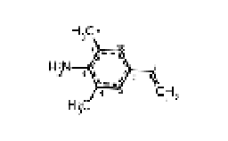 C=Cc1cc(C)c(N)c(C)c1